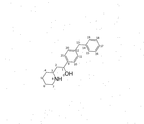 OC(CC1CCCCN1)c1ccc(Cc2ccccc2)cc1